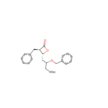 CCCCCCCCCCCC(C[C@H]1OC(=O)[C@@H]1Cc1ccccc1)OCc1ccccc1